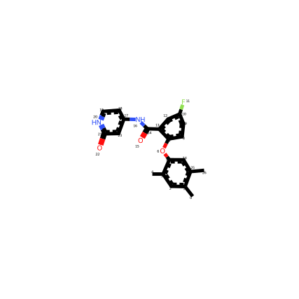 Cc1cc(C)c(Oc2ccc(F)cc2C(=O)Nc2cc[nH]c(=O)c2)cc1C